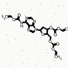 C=COC(=O)Nc1ncnc2c1ncn2C1CC(OC(=O)OC=C)C(COC(=O)OC=C)O1